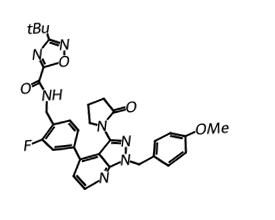 COc1ccc(Cn2nc(N3CCCC3=O)c3c(-c4ccc(CNC(=O)c5nc(C(C)(C)C)no5)c(F)c4)ccnc32)cc1